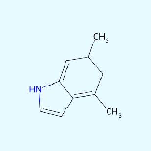 CC1=c2cc[nH]c2=CC(C)C1